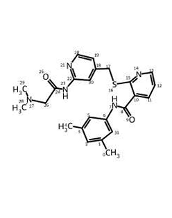 Cc1cc(C)cc(NC(=O)c2cccnc2SCc2ccnc(NC(=O)CN(C)C)c2)c1